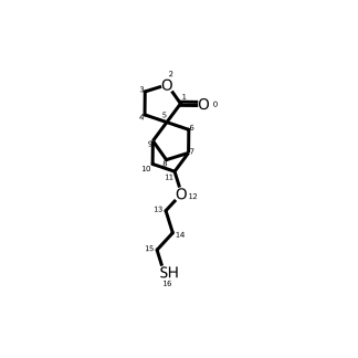 O=C1OCCC12CC1CC2CC1OCCCS